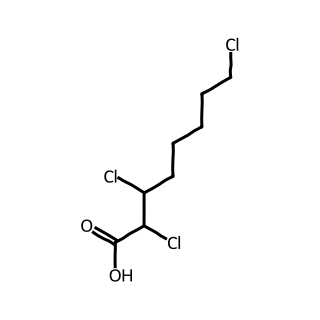 O=C(O)C(Cl)C(Cl)CCCCCCl